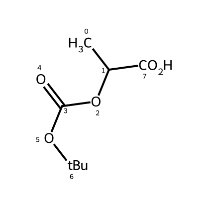 CC(OC(=O)OC(C)(C)C)C(=O)O